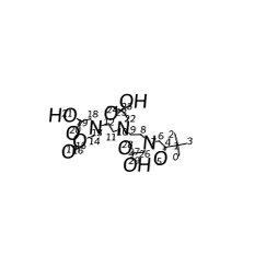 CC(C)(C)C(=O)CN(CCN(CCN(COC=O)CC(=O)O)CC(=O)O)CC(=O)O